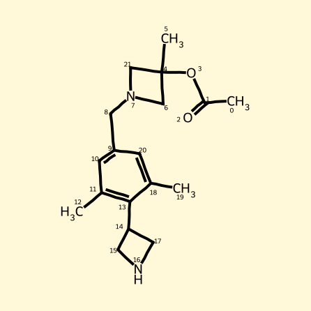 CC(=O)OC1(C)CN(Cc2cc(C)c(C3CNC3)c(C)c2)C1